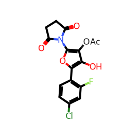 CC(=O)Oc1c(N2C(=O)CCC2=O)oc(-c2ccc(Cl)cc2F)c1O